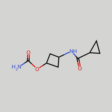 NC(=O)OC1CC(NC(=O)C2CC2)C1